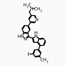 Cc1cc(F)cc(-c2cccc3[nH]c(-c4n[nH]c5ccc(-c6cncc(CN(C)C)c6)cc45)cc23)c1